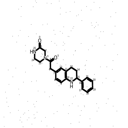 O=C1CN(C(=O)Cc2ccc3c(c2)CCC(c2ccccc2)N3)CCN1